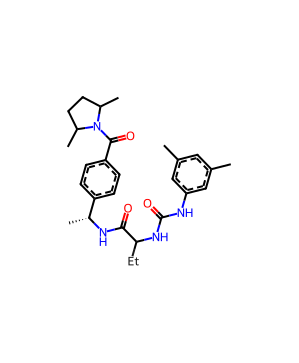 CCC(NC(=O)Nc1cc(C)cc(C)c1)C(=O)N[C@H](C)c1ccc(C(=O)N2C(C)CCC2C)cc1